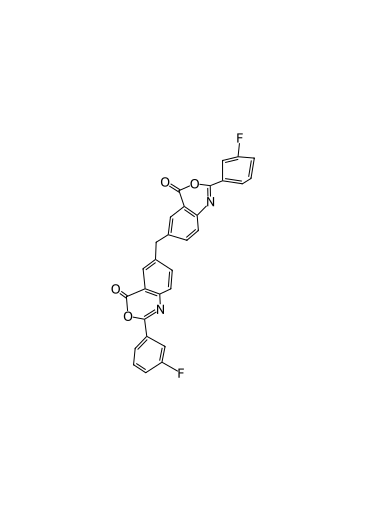 O=c1oc(-c2cccc(F)c2)nc2ccc(Cc3ccc4nc(-c5cccc(F)c5)oc(=O)c4c3)cc12